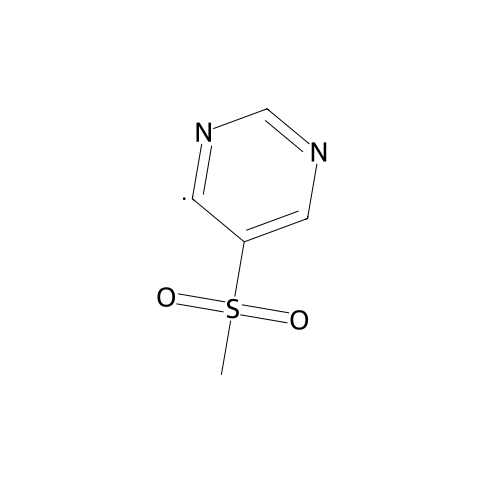 CS(=O)(=O)c1[c]ncnc1